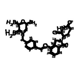 BC1CN(Cc2ccc(COc3cccc4c3CN(C3CCC(=O)NC3=O)C4=O)cc2)C(B)C(B)O1